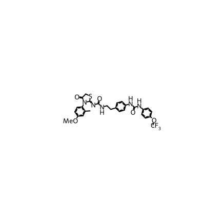 COc1ccc(N2C(=O)CSC2=NC(=O)NCCc2ccc(NC(=O)Nc3ccc(OC(F)(F)F)cc3)cc2)c(C)c1